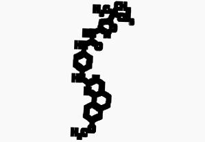 COc1ccc2c(c1)CCc1cnc(Nc3ccc(NC(=O)Nc4cc(C(C)(C)C)on4)cc3)nc1-2